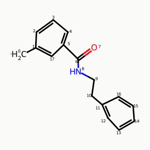 [CH2]c1cccc(C(=O)NCCc2ccccc2)c1